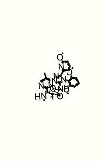 CN[C@H](c1ncc(C)cn1)[C@H](C)S(=O)(=O)Nc1nnc(-c2cccc(OC)n2)n1-c1c(OC)cccc1OC